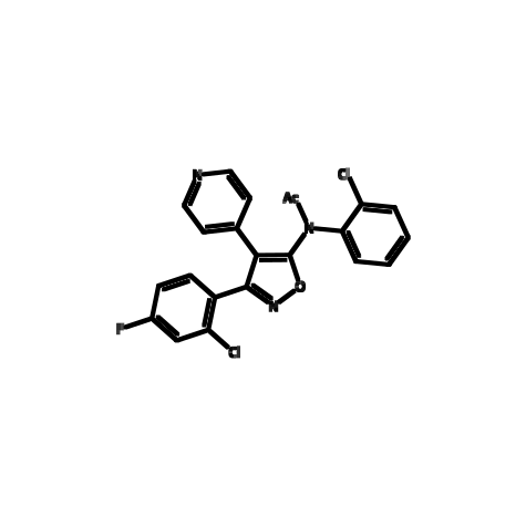 CC(=O)N(c1ccccc1Cl)c1onc(-c2ccc(F)cc2Cl)c1-c1ccncc1